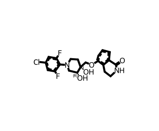 O=C1NCCc2c(OC[C@]3(O)CCN(c4c(F)cc(Cl)cc4F)C[C@H]3O)cccc21